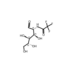 O=C[C@H](NC(=O)C(F)(F)F)[C@@H](O)[C@H](O)[C@H](O)CO